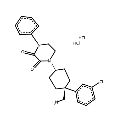 Cl.Cl.NC[C@]1(c2cccc(Cl)c2)CC[C@@H](N2CCN(c3ccccc3)C(=O)C2=O)CC1